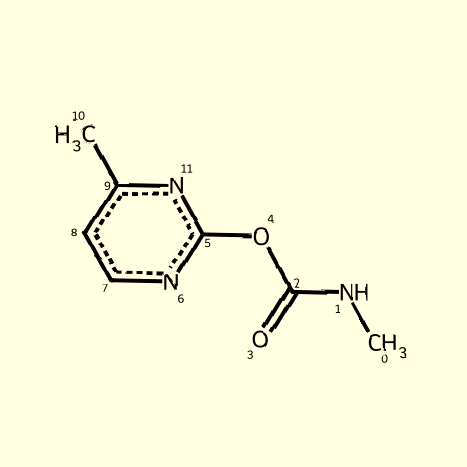 CNC(=O)Oc1nccc(C)n1